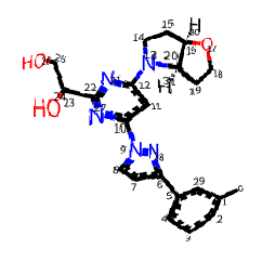 Cc1cccc(-c2ccn(-c3cc(N4CC[C@H]5OCC[C@H]54)nc(C(O)CO)n3)n2)c1